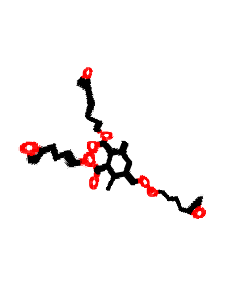 C=C1CC(COOCCCCC2CO2)C(C)C(C(=O)OCCCCC2CO2)C1C(=O)OCCCCC1CO1